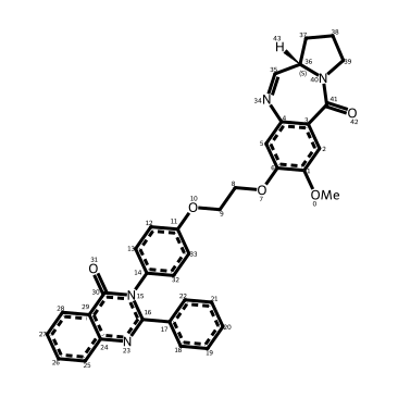 COc1cc2c(cc1OCCOc1ccc(-n3c(-c4ccccc4)nc4ccccc4c3=O)cc1)N=C[C@@H]1CCCN1C2=O